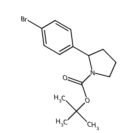 CC(C)(C)OC(=O)N1CCCC1c1ccc(Br)cc1